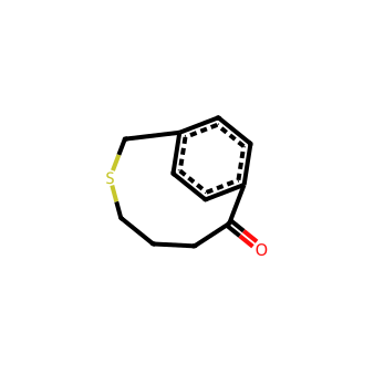 O=C1CCCSCc2ccc1cc2